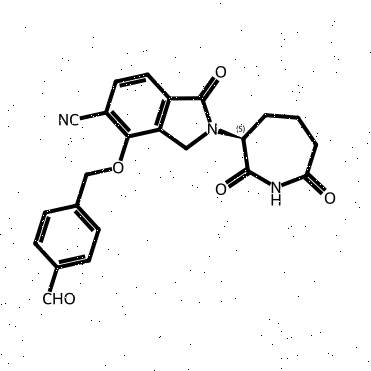 N#Cc1ccc2c(c1OCc1ccc(C=O)cc1)CN([C@H]1CCCC(=O)NC1=O)C2=O